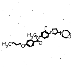 CCCCOc1ccc(C(=O)N(C)c2ccc(N3CCC(N4CCCOCC4)C3)c(F)c2)cc1